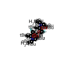 B[Si](CCCC)(CCCC)c1ccc2c3ccc([Si](B)(C(C)(C)C)C(C)(C)C)cc3n(-c3cc(C(C)(C)CC(C)(C)C)cc(-c4cc(F)cc(C)c4OCCCOc4c(C)cc(F)cc4-c4cc(C(C)(C)CC(C)(C)C)cc(-n5c6cc([Si](CCCC)(CCCC)CCCC)ccc6c6ccc([Si](B)(B)C(C)(C)C)cc65)c4O)c3O)c2c1